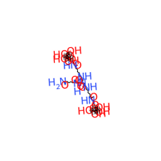 NC(=O)CCCCC(=O)NCC(=O)N(CC(=O)NCCCCCC(=O)NCCO[C@H]1O[C@H](CO)[C@@H](O)[C@H](O)[C@@H]1O)CC(=O)NCCCCCC(=O)NCCO[C@H]1O[C@H](CO)[C@@H](O)[C@H](O)[C@@H]1O